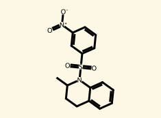 CC1CCc2ccccc2N1S(=O)(=O)c1cccc([N+](=O)[O-])c1